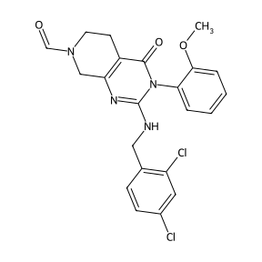 COc1ccccc1-n1c(NCc2ccc(Cl)cc2Cl)nc2c(c1=O)CCN(C=O)C2